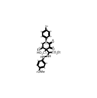 CCOC(=O)C(NNc1ccc(OC)cc1)C1(C(=O)O)C(=O)C(=O)N(c2ccc(I)cc2)CC1CC